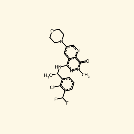 C[C@@H](Nc1nn(C)c(=O)c2ncc(N3CCOCC3)cc12)c1cccc(C(F)F)c1Cl